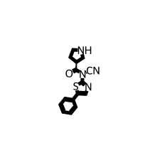 N#CN(C(=O)[C@H]1CCNC1)c1ncc(-c2ccccc2)s1